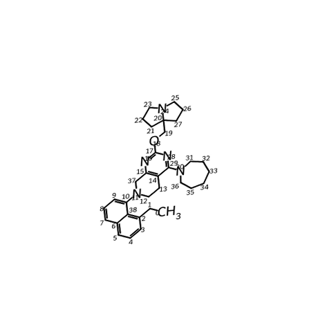 CCc1cccc2cccc(N3CCc4c(nc(OCC56CCCN5CCC6)nc4N4CCCCCC4)C3)c12